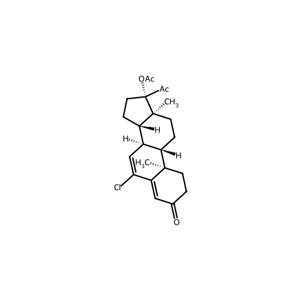 CC(=O)O[C@@]1(C(C)=O)CC[C@H]2[C@@H]3C=C(Cl)C4=CC(=O)CC[C@]4(C)[C@H]3CC[C@@]21C